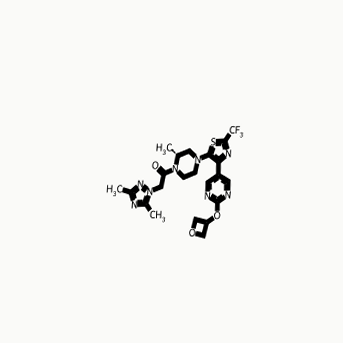 Cc1nc(C)n(CC(=O)N2CCN(c3sc(C(F)(F)F)nc3-c3cnc(OC4COC4)nc3)C[C@H]2C)n1